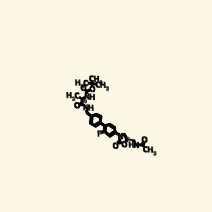 CC(=O)NC[C@H]1CN(c2ccc(-c3ccc(CNC(=O)[C@@H](C)NC(=O)OC(C)(C)C)cc3)c(F)c2)C(=O)O1